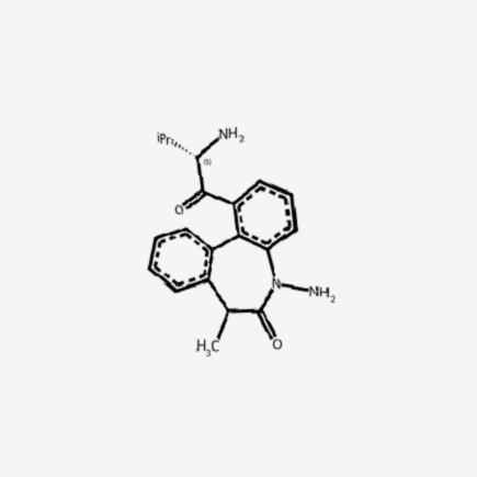 CC1C(=O)N(N)c2cccc(C(=O)[C@@H](N)C(C)C)c2-c2ccccc21